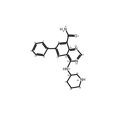 NC(=O)c1cc(-c2ccccc2)cc2c(NC3CCCNC3)ncnc12